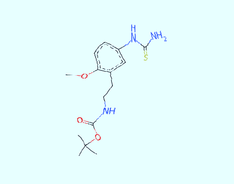 COc1ccc(NC(N)=S)cc1CCNC(=O)OC(C)(C)C